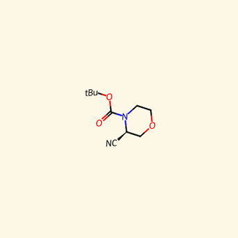 CC(C)(C)OC(=O)N1CCOC[C@H]1C#N